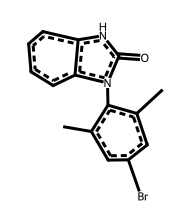 Cc1cc(Br)cc(C)c1-n1c(=O)[nH]c2ccccc21